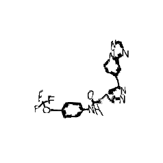 O=C(Cn1cc(-c2ccn3ncnc3c2)nn1)Nc1ccc(OC(F)(F)F)cc1